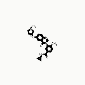 Cc1ccc(C(=O)NC2CC2)cc1-n1cnc2ccc(O[C@H]3CCN(C)C3)cc2c1=O